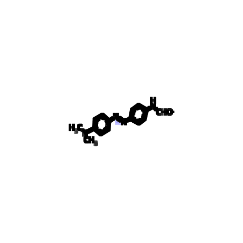 CN(C)c1ccc(/N=N/c2ccc(N[C]=O)cc2)cc1